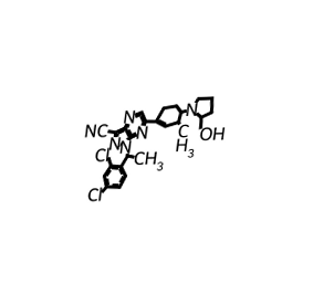 CC1C=C(c2cnc3c(C#N)nn(C(C)c4ccc(Cl)cc4Cl)c3n2)CCC1N1CCCC1CO